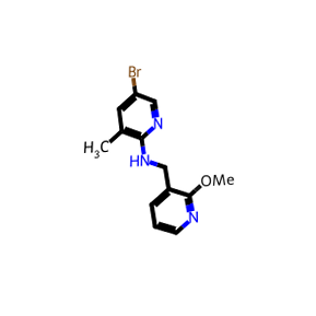 COc1ncccc1CNc1ncc(Br)cc1C